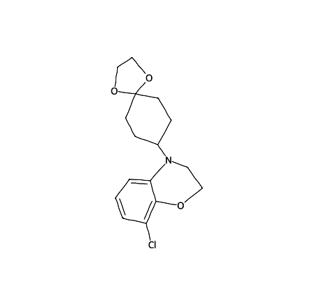 Clc1cccc2c1OCCN2C1CCC2(CC1)OCCO2